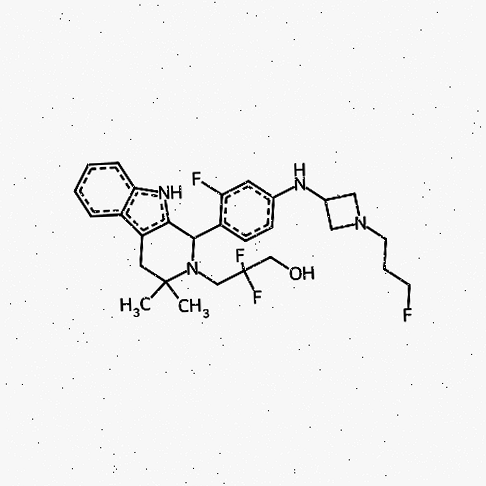 CC1(C)Cc2c([nH]c3ccccc23)C(c2ccc(NC3CN(CCCF)C3)cc2F)N1CC(F)(F)CO